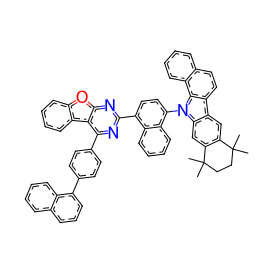 CC1(C)CCC(C)(C)c2cc3c(cc21)c1ccc2ccccc2c1n3-c1ccc(-c2nc(-c3ccc(-c4cccc5ccccc45)cc3)c3c(n2)oc2ccccc23)c2ccccc12